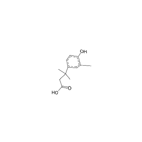 Cc1cc(C(C)(C)CC(=O)O)ccc1O